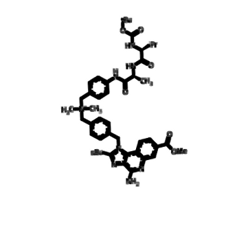 CCCCc1nc2c(N)nc3cc(C(=O)OC)ccc3c2n1Cc1ccc(C[N+](C)(C)Cc2ccc(NC(=O)[C@H](C)NC(=O)[C@@H](NC(=O)OC(C)(C)C)C(C)C)cc2)cc1